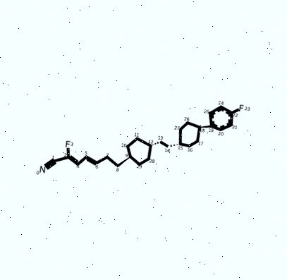 N#CC(F)=CC=CCC[C@H]1CC[C@H](CC[C@H]2CC[C@H](c3ccc(F)cc3)CC2)CC1